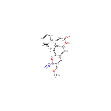 COC=C(Cc1ccc2c(-c3ccccc3C)cc(=O)oc2c1)C(N)=O